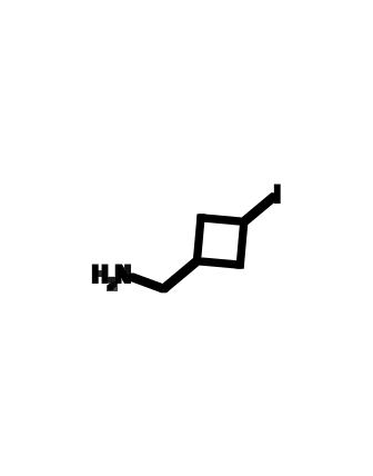 NCC1CC(I)C1